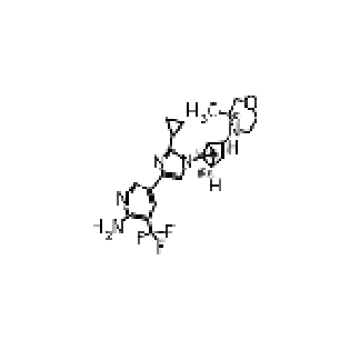 C[C@H]1COCCN1C1C[C@@H]2[C@@H]3C1[C@@]23n1cc(-c2cnc(N)c(C(F)(F)F)c2)nc1C1CC1